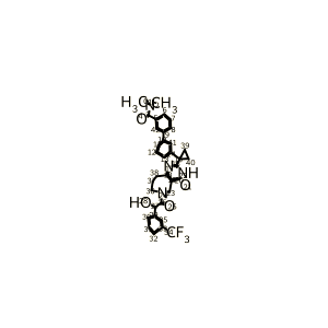 CN(C)C(=O)c1cccc(-c2cccc(C3(c4nc5c(c(=O)[nH]4)CN(C(=O)C(O)c4cccc(C(F)(F)F)c4)CCC5)CC3)c2)c1